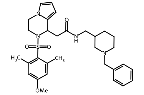 COc1cc(C)c(S(=O)(=O)N2CCn3cccc3C2CC(=O)NCC2CCCN(Cc3ccccc3)C2)c(C)c1